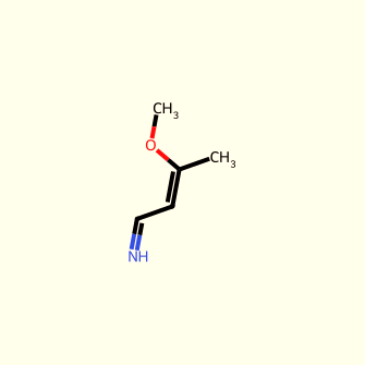 CO/C(C)=C\C=N